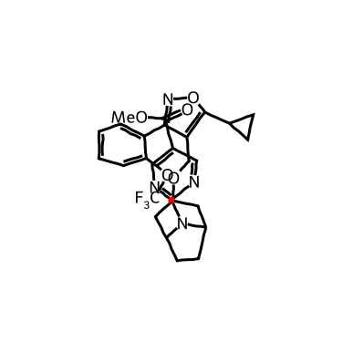 COC(=O)c1cnc(N2C3CCC2CC(OCc2c(-c4ccccc4OC(F)(F)F)noc2C2CC2)C3)nc1